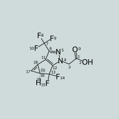 O=C(O)Cn1nc(C(F)(F)F)c2c1C(F)(F)[C@H]1C=C21